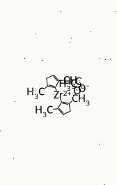 CC1=CCC(C)=[C]1[Zr+2][C]1=C(C)CC=C1C.C[O-].C[O-]